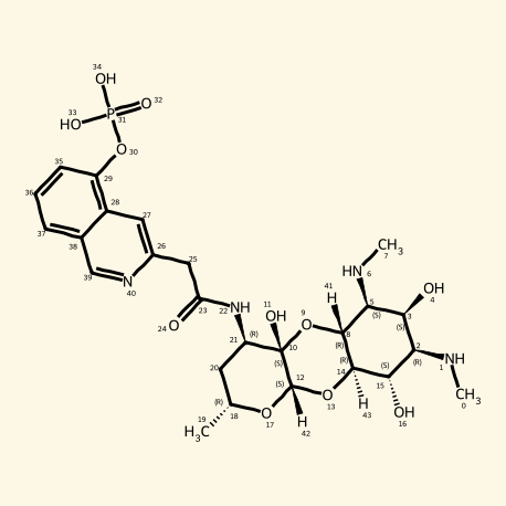 CN[C@@H]1[C@H](O)[C@H](NC)[C@H]2O[C@]3(O)[C@H](O[C@@H]2[C@H]1O)O[C@H](C)C[C@H]3NC(=O)Cc1cc2c(OP(=O)(O)O)cccc2cn1